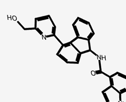 O=C(NC1c2ccccc2-c2c(-c3cccc(CO)n3)cccc21)c1ccnc2[nH]ccc12